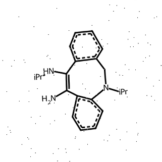 CC(C)N/C1=C(\N)c2ccccc2N(C(C)C)Cc2ccccc21